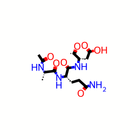 CC(=O)N[C@@H](C)C(=O)N[C@@H](CCC(N)=O)C(=O)N[C@H]([C]=O)CC(=O)O